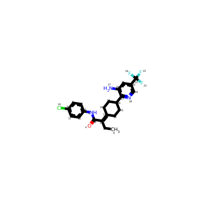 CCC(C(=O)Nc1ccc(Cl)cc1)=C1CCC(c2ncc(C(F)(F)F)cc2N)CC1